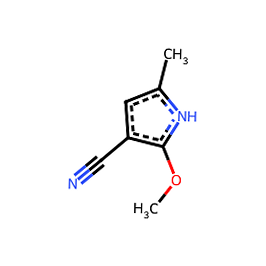 COc1[nH]c(C)cc1C#N